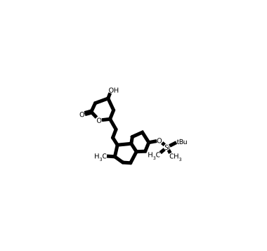 CC1CCC2CC(O[Si](C)(C)C(C)(C)C)C[CH]C2C1CCC1CC(O)CC(=O)O1